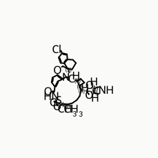 C[C@@H]1[C@@H](C)CCC[C@@H](C2O[C@H]3CNC[C@H]3O2)[C@@H]2CC[C@H]2CN2C[C@@]3(CCCc4cc(Cl)ccc43)COc3ccc(cc32)C(=O)NS1(=O)=O